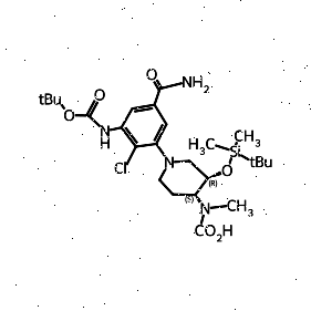 CN(C(=O)O)[C@H]1CCN(c2cc(C(N)=O)cc(NC(=O)OC(C)(C)C)c2Cl)C[C@H]1O[Si](C)(C)C(C)(C)C